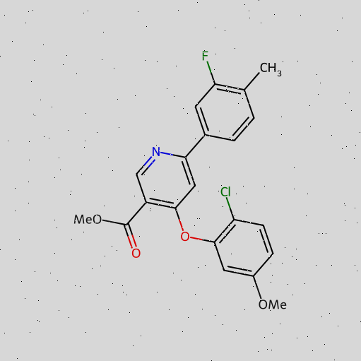 COC(=O)c1cnc(-c2ccc(C)c(F)c2)cc1Oc1cc(OC)ccc1Cl